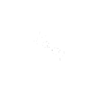 O=Cc1cn(-c2ccc(C(F)(F)F)nc2)nc1C(F)(F)F